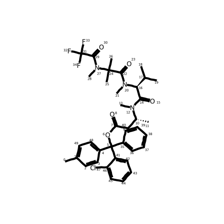 Cc1ccc(C(OC(=O)C[C@@H](C)N(C)C(=O)[C@H](C(C)C)N(C)C(=O)C(C)(C)N(C)C(=O)C(F)(F)F)(c2ccccc2)c2ccccc2Cl)cc1